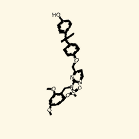 COc1ccc(CN(c2nccc(COc3ccc(C(C)(C)c4ccc(O)cc4)cc3)n2)S(C)(=O)=O)c(OC)c1